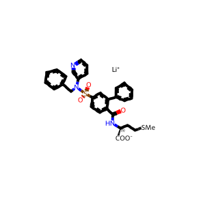 CSCC[C@H](NC(=O)c1ccc(S(=O)(=O)N(Cc2ccccc2)c2cccnc2)cc1-c1ccccc1)C(=O)[O-].[Li+]